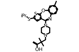 C=C(O)C(C)(C)CN1CCN(C2=Nc3ccc(C)cc3Oc3sc(SC(C)C)cc32)CC1